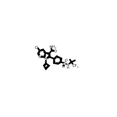 CC(C)(NS(=O)(=O)c1ccc(-c2c(C(N)=O)c3cc(Cl)cnc3n2C2=CC=C2)cc1)C(F)(F)F